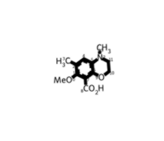 COc1c(C)cc2c(c1C(=O)O)OCCN2C